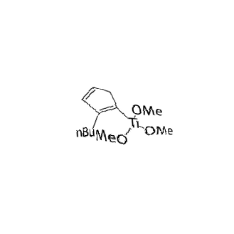 CCCCC1=[C]([Ti]([O]C)([O]C)[O]C)CC=C1